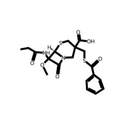 CCC(=O)NC1(OC)C(=O)N2CC(CSC(=O)c3ccccc3)(C(=O)O)CS[C@@H]21